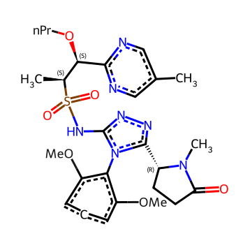 CCCO[C@@H](c1ncc(C)cn1)[C@H](C)S(=O)(=O)Nc1nnc([C@H]2CCC(=O)N2C)n1-c1c(OC)cccc1OC